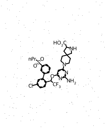 CCCS(=O)(=O)c1cccc(-c2cc(Cl)ccc2C(Oc2cc(N3CCC4(CC3)CNC(C(=O)O)C4)nc(N)n2)C(F)(F)F)c1